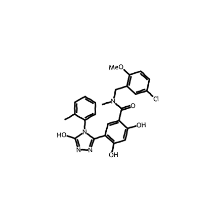 COc1ccc(Cl)cc1CN(C)C(=O)c1cc(-c2nnc(O)n2-c2ccccc2C)c(O)cc1O